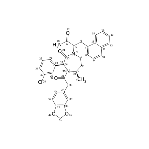 C[C@@H]1CCN(C(Cc2cccc3ccccc23)C(N)=O)C(=O)[C@H](c2cccc(Cl)c2)N1C(=O)Cc1ccc2c(c1)OCO2